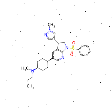 CCCN(C)[C@H]1CC[C@@H](c2cnc3c(c2)C(c2cnn(C)c2)CN3S(=O)(=O)c2ccccc2)CC1